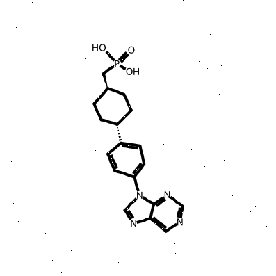 O=P(O)(O)C[C@H]1CC[C@H](c2ccc(-n3cnc4cncnc43)cc2)CC1